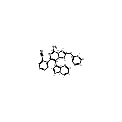 N#Cc1ccccc1-c1nc(N)n2nc(Cc3ccccn3)nc2c1-c1cnn2ncccc12